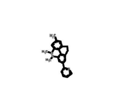 COc1cc(C)cc2c1-c1c(cc(-c3ccccn3)cc1OC)CC2